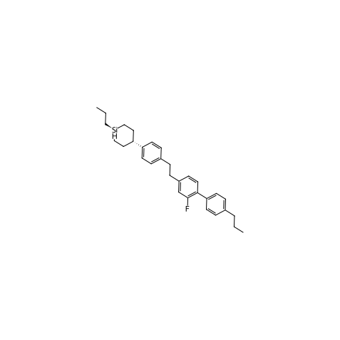 CCCc1ccc(-c2ccc(CCc3ccc([C@H]4CC[Si@H](CCC)CC4)cc3)cc2F)cc1